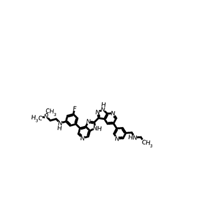 CCNCc1cncc(-c2cnc3[nH]nc(-c4nc5c(-c6cc(F)cc(NCCN(C)C)c6)cncc5[nH]4)c3c2)c1